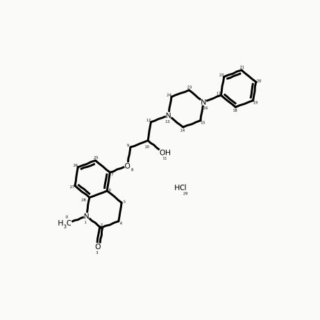 CN1C(=O)CCc2c(OCC(O)CN3CCN(c4ccccc4)CC3)cccc21.Cl